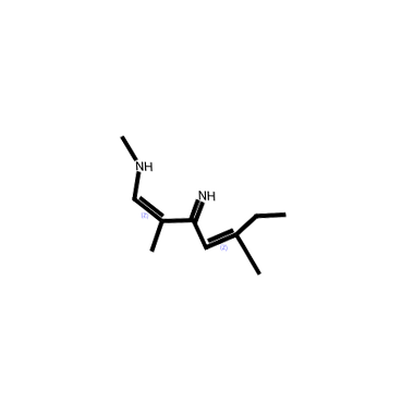 CC/C(C)=C\C(=N)/C(C)=C\NC